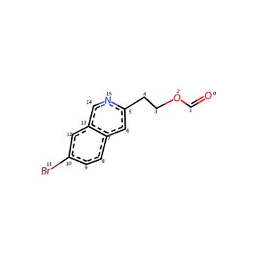 O=COCCc1cc2ccc(Br)cc2cn1